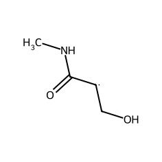 CNC(=O)[CH]CO